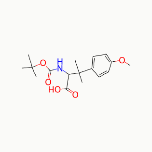 COc1ccc(C(C)(C)C(NC(=O)OC(C)(C)C)C(=O)O)cc1